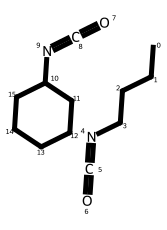 CCCCN=C=O.O=C=NC1CCCCC1